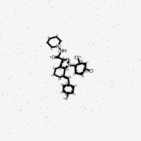 O=C(NN1CCCCC1)c1nn(-c2ccc(Cl)cc2Cl)c2c1CCCC2=Cc1ccc(F)cc1